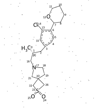 C[C@H](Cc1ccc(C2CCCCO2)c(Cl)c1)CN1CCC2(C1)CS(=O)(=O)C2